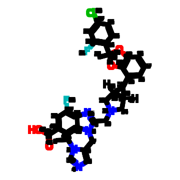 CCn1cncc1Cn1c(CN2C[C@@H]3C(c4cccc5c4OC(C)(c4ccc(Cl)cc4F)O5)[C@@H]3C2)nc2c(F)cc(C(=O)O)cc21